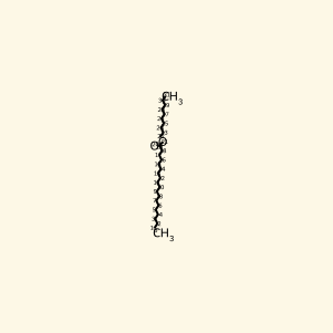 CCCCCCCCCCCCCCCCCCCC(=O)OCCCCCCCCCC